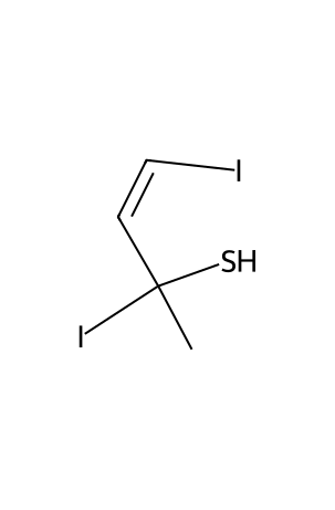 CC(S)(I)/C=C\I